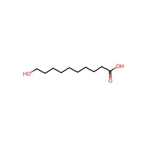 O=C(O)[CH]CCCCCCCCO